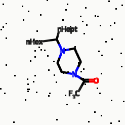 CCCCCCCC(CCCCCC)N1CCN(C(=O)C(F)(F)F)CC1